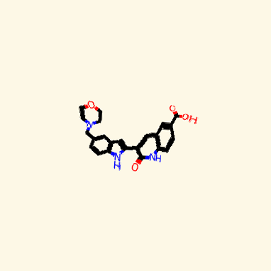 O=C(O)c1ccc2[nH]c(=O)c(-c3cc4cc(CN5CCOCC5)ccc4[nH]3)cc2c1